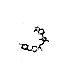 Cc1nn(-c2ccc3nnc(C)n3n2)c(C)c1CCC(=O)N1CCN(Cc2ccc(O)cc2)CC1